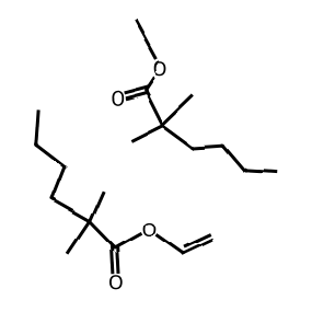 C=COC(=O)C(C)(C)CCCC.CCCCC(C)(C)C(=O)OC